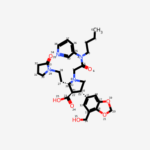 CCCCN(C(=O)CN1C[C@H](c2cc(CO)c3c(c2)OCO3)[C@@H](C(=O)O)[C@@H]1CCN1CCCC1=O)c1cccnc1